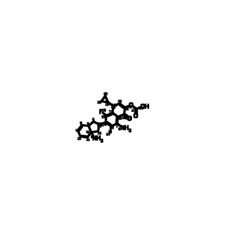 Nc1c(F)c(N2CC3C=CC=CC3(N)C2)c(F)c2c1c(=O)c(OC(=O)O)cn2C1CC1